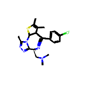 CC1=C(C)C2C(c3ccc(Cl)cc3)=N[C@@H](CN(C)C)c3nnc(C)n3C2S1